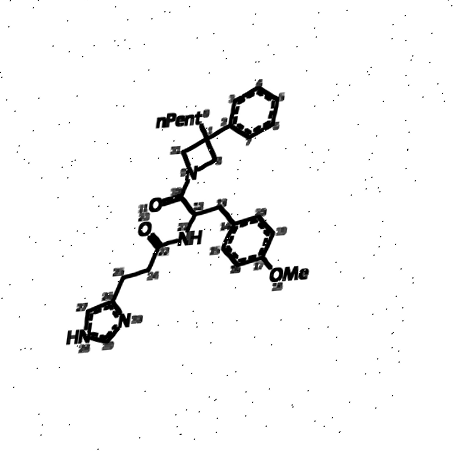 CCCCCC1(c2ccccc2)CN(C(=O)C(Cc2ccc(OC)cc2)NC(=O)CCc2c[nH]cn2)C1